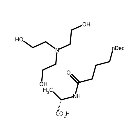 CCCCCCCCCCCCCC(=O)N[C@@H](C)C(=O)O.OCCN(CCO)CCO